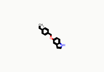 C=Cc1ccc(COc2ccc3[nH]ccc3c2)cc1